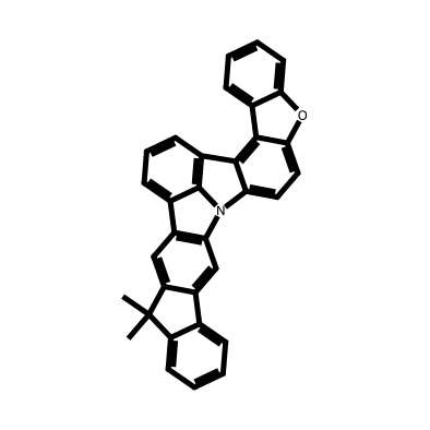 CC1(C)c2ccccc2-c2cc3c(cc21)c1cccc2c4c5c(ccc4n3c12)oc1ccccc15